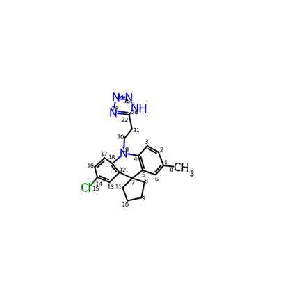 Cc1ccc2c(c1)C1(CCCC1)c1cc(Cl)ccc1N2CCc1nnn[nH]1